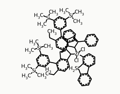 CCc1ccc2c(c1-c1cc([Si](C)(C)C)cc([Si](C)(C)C)c1)C=C(c1ccccc1)[CH]2[Zr]([Cl])([Cl])([c]1cccc2c1[SiH2]c1ccccc1-2)[CH]1C(c2ccccc2)=Cc2c1ccc(CC)c2-c1cc([Si](C)(C)C)cc([Si](C)(C)C)c1